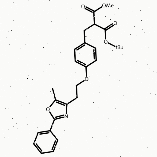 COC(=O)C(Cc1ccc(OCCc2nc(-c3ccccc3)oc2C)cc1)C(=O)OC(C)(C)C